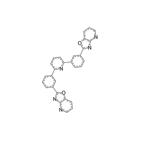 c1cc(-c2cccc(-c3cccc(-c4nc5ncccc5o4)c3)n2)cc(-c2nc3ncccc3o2)c1